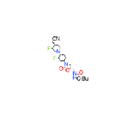 CC(C)COC(=O)NC[C@H]1CN(c2ccc(N3CC/C(=C\C#N)C(F)C3)c(F)c2)C(=O)O1